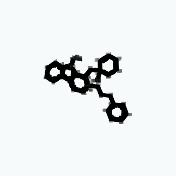 CCCCn1c2ccccc2c2cc[n+](CCCc3ccccc3)c(CC3(Cl)C=CC=CC3)c21